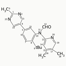 Cc1ncc(-c2ccc(C(C)(C)C)c(N(C=O)c3cc(C)c(C)cn3)c2)cn1